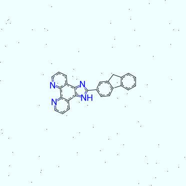 c1ccc2c(c1)Cc1cc(-c3nc4c5cccnc5c5ncccc5c4[nH]3)ccc1-2